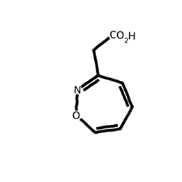 O=C(O)CC1=NOC=CC=C1